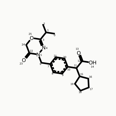 CC(C)C1=NN(Cc2ccc(C(C(=O)O)C3CCCC3)cc2)C(=O)CO1